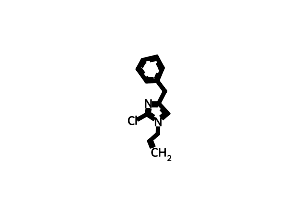 C=CCn1cc(Cc2ccccc2)nc1Cl